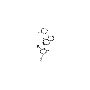 Cc1cc(C#N)cc(O)c1-c1cc2cccc([C@H]3CCCN(C)C3)c2nn1